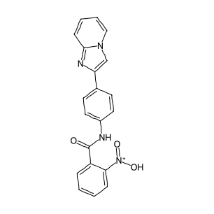 O=C(Nc1ccc(-c2cn3ccccc3n2)cc1)c1ccccc1[N+](=O)O